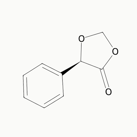 O=C1OCO[C@@H]1c1ccccc1